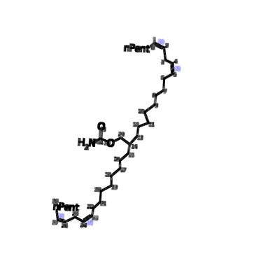 CCCCC/C=C\C/C=C\CCCCCCCCC(CCCCCCCC/C=C\C/C=C\CCCCC)COC(N)=O